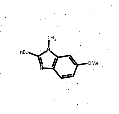 CCCCc1nc2ccc(OC)cc2n1C